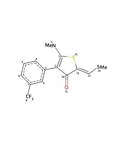 CNC1=C(c2cccc(C(F)(F)F)c2)C(=O)C(=CSC)S1